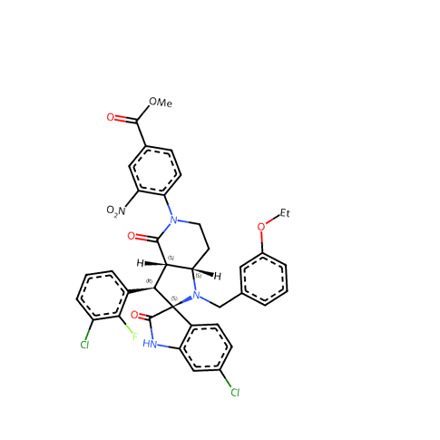 CCOc1cccc(CN2[C@H]3CCN(c4ccc(C(=O)OC)cc4[N+](=O)[O-])C(=O)[C@H]3[C@H](c3cccc(Cl)c3F)[C@]23C(=O)Nc2cc(Cl)ccc23)c1